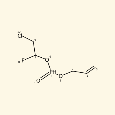 C=CCO[PH](=O)OC(F)CCl